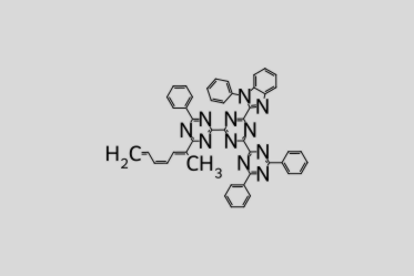 C=C/C=C\C=C(/C)c1nc(-c2ccccc2)nc(-c2nc(-c3nc(-c4ccccc4)nc(-c4ccccc4)n3)nc(-c3nc4ccccc4n3-c3ccccc3)n2)n1